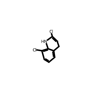 ClC1=[C]Cc2cccc(Cl)c2N1